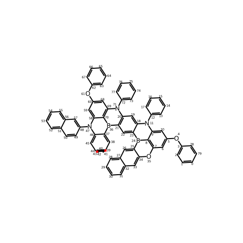 c1ccc(Oc2cc3c4c(c2)N(c2ccccc2)c2cc5c(cc2B4c2cc4ccccc4cc2O3)B2c3cc4ccccc4cc3N(c3ccc4ccccc4c3)c3cc(Oc4ccccc4)cc(c32)N5c2ccccc2)cc1